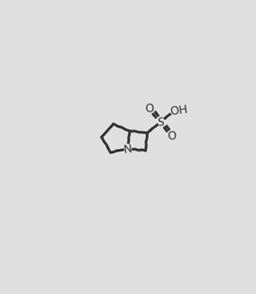 O=S(=O)(O)C1CN2CCCC12